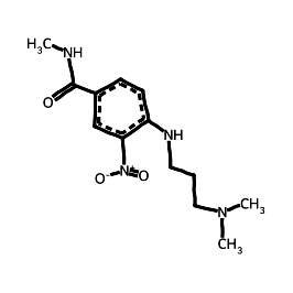 CNC(=O)c1ccc(NCCCN(C)C)c([N+](=O)[O-])c1